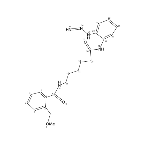 COCc1ccccc1C(=O)NCCCCCC(=O)Nc1ccccc1NN=N